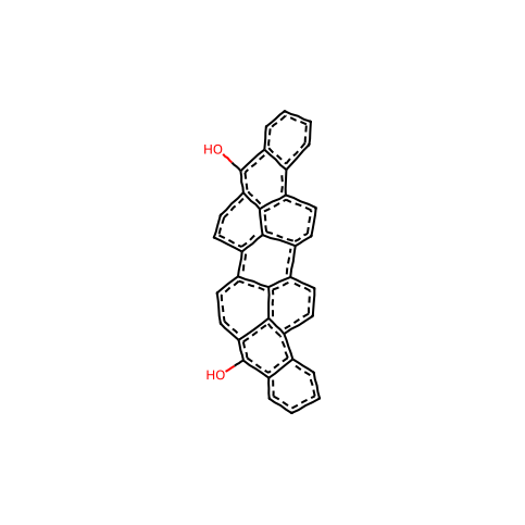 Oc1c2ccccc2c2ccc3c4ccc5c6ccccc6c(O)c6ccc(c7ccc1c2c73)c4c65